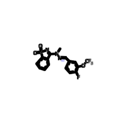 CN(/N=C/c1ccc(F)c(OC(F)(F)F)c1)C1=NS(=O)(=O)c2ccccc21